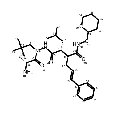 CC(C)C[C@@H](C(=O)NN(CC(C)(C)C)C(=O)[C@@H](C)N)[C@H](CC=Cc1ccccc1)C(=O)NOC1CCCCO1